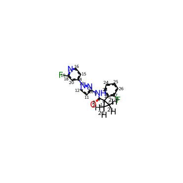 [2H]C1([2H])C([2H])([2H])C1(C(=O)Nc1ccn(-c2ccnc(F)c2)n1)c1ccccc1F